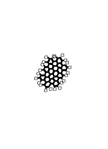 Clc1c(Cl)c2c3c(Cl)c(Cl)c(Cl)c4c5c(Cl)c(Cl)c6c7c(Cl)c(Cl)c(Cl)c8c9c(Cl)c(Cl)c(Cl)c%10c%11c(Cl)c(Cl)c(Cl)c%12c%13c(Cl)c(Cl)c%14c%15c(Cl)c(Cl)c(Cl)c%16c(c1Cl)c2c1c(c34)c2c5c6c3c(c87)c(c9%10)c(c%11%12)c4c%13c%14c(c1c%16%15)c2c34